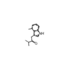 Cc1cccc2[nH]cc(CC(=O)C(C)C)c12